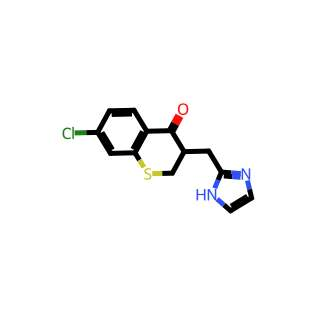 O=C1c2ccc(Cl)cc2SCC1Cc1ncc[nH]1